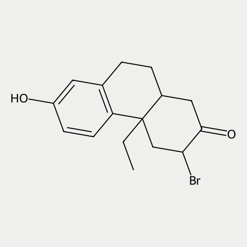 CCC12CC(Br)C(=O)CC1CCc1cc(O)ccc12